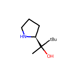 CC(C)(C)C(C)(O)[C@@H]1CCCN1